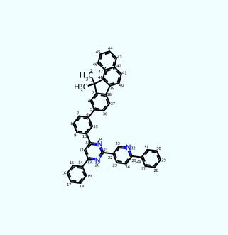 CC1(C)c2cc(-c3cccc(-c4cc(-c5ccccc5)nc(-c5ccc(-c6ccccc6)nc5)n4)c3)ccc2-c2ccc3ccccc3c21